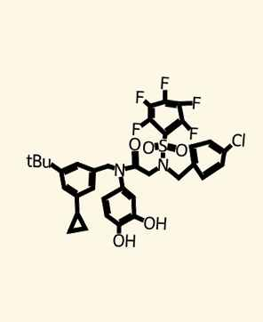 CC(C)(C)c1cc(CN(C(=O)CN(Cc2ccc(Cl)cc2)S(=O)(=O)c2c(F)c(F)c(F)c(F)c2F)c2ccc(O)c(O)c2)cc(C2CC2)c1